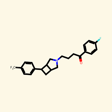 O=C(CCCN1CC2CC(c3ccc(C(F)(F)F)cc3)C2C1)c1ccc(F)cc1